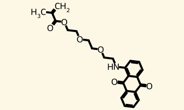 C=C(C)C(=O)OCCOCCOCCNc1cccc2c1C(=O)c1ccccc1C2=O